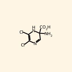 NC1(C(=O)O)C=NC(Cl)=C(Cl)N1